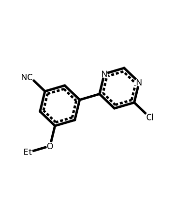 CCOc1cc(C#N)cc(-c2cc(Cl)ncn2)c1